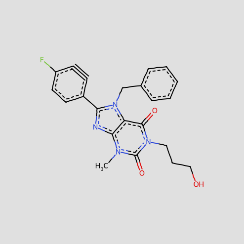 Cn1c(=O)n(CCCO)c(=O)c2c1nc(-c1c#cc(F)cc1)n2Cc1ccccc1